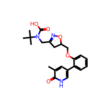 Cc1cc(-c2ccccc2OCC2CC(CN(C(=O)O)C(C)(C)C)=NO2)c[nH]c1=O